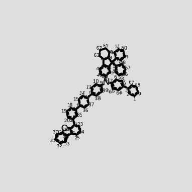 c1ccc(-c2ccc(N(c3ccc(-c4ccc(-c5cccc(-c6cccc7c6oc6ccccc67)c5)cc4)cc3)c3ccc4c(c3)C(c3ccccc3)(c3ccccc3)C3CCCCC43)cc2)cc1